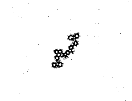 CC1(C)c2cc(-c3cccc(N4c5ccccc5C5(C)CCCCC45C)c3)ccc2-c2cc3c(cc21)C(C)(C)c1cc(-c2cccc(N4c5ccccc5C5(C)CCCCC45C)c2)c2c(ccc4ccccc42)c1-3